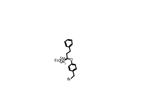 CCOC(=O)C(CCc1ccccc1)Oc1ccc(CBr)cc1.CSC